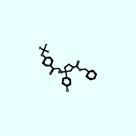 O=C(CNC1(c2ccc(Cl)cc2)CCN(C(=O)OCc2ccccc2)C1)c1ccc(OC(F)(F)F)cc1